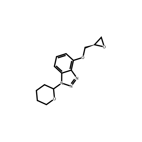 c1cc(OC[C@H]2CO2)c2nnn(C3CCCCO3)c2c1